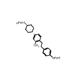 CCCCCc1ccc(CCc2ccc([C@H]3CC[C@H](CCCCC)CC3)cc2C)cc1